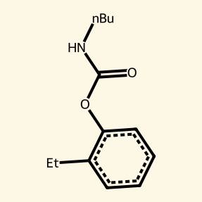 CCCCNC(=O)Oc1ccccc1CC